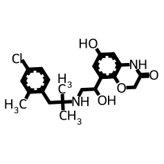 Cc1cc(Cl)ccc1CC(C)(C)NCC(O)c1cc(O)cc2c1OCC(=O)N2